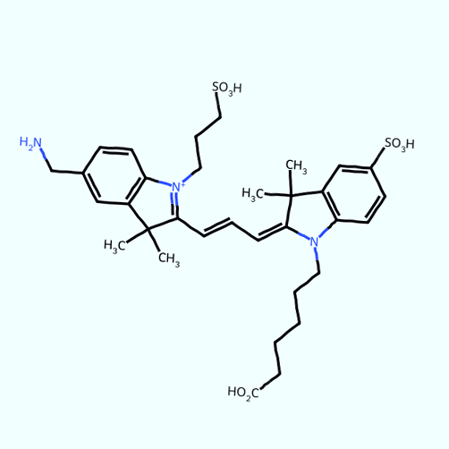 CC1(C)C(/C=C/C=C2/N(CCCCCC(=O)O)c3ccc(S(=O)(=O)O)cc3C2(C)C)=[N+](CCCS(=O)(=O)O)c2ccc(CN)cc21